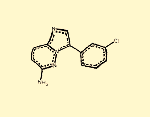 Nc1ccc2ncc(-c3cccc(Cl)c3)n2n1